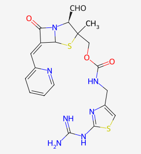 CC1(COC(=O)NCc2csc(NC(=N)N)n2)SC2/C(=C\c3ccccn3)C(=O)N2[C@H]1C=O